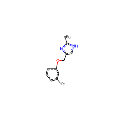 CCCCc1nc(COc2cccc(C(C)C)c2)c[nH]1